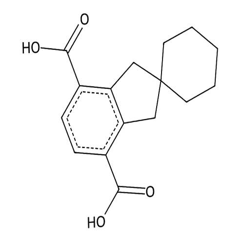 O=C(O)c1ccc(C(=O)O)c2c1CC1(CCCCC1)C2